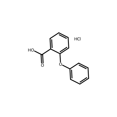 Cl.O=C(O)c1ccccc1Oc1ccccc1